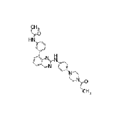 C=CC(=O)Nc1cccc(-c2cccc3cnc(Nc4ccc(N5CCN(C(=O)CC)CC5)cc4)nc23)c1